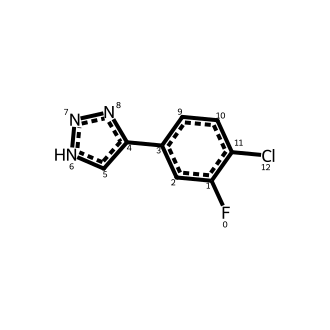 Fc1cc(-c2c[nH]nn2)ccc1Cl